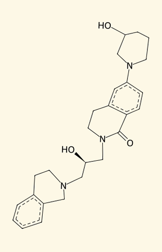 O=C1c2ccc(N3CCCC(O)C3)cc2CCN1C[C@H](O)CN1CCc2ccccc2C1